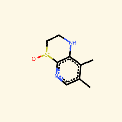 Cc1cnc2c(c1C)NCC[S+]2[O-]